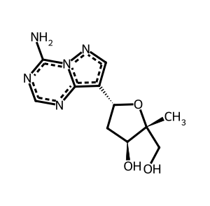 C[C@]1(CO)O[C@@H](c2cnn3c(N)ncnc23)C[C@@H]1O